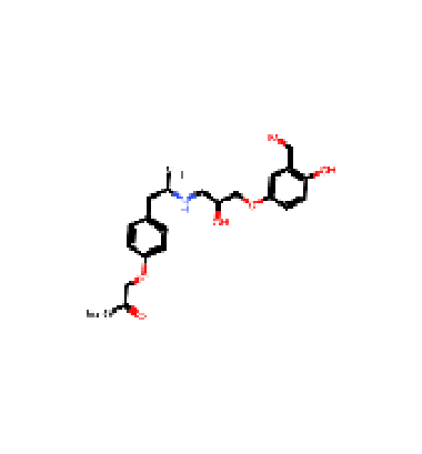 COC(=O)COc1ccc(CC(C)NCC(O)COc2ccc(O)c(CO)c2)cc1